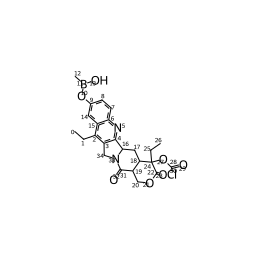 CCc1c2c(nc3ccc(OB(C)O)cc13)C1CC3C(COC(=O)C3(CC)OC(=O)Cl)C(=O)N1C2